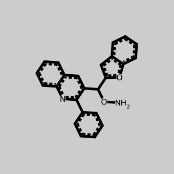 NOC(c1cc2ccccc2o1)c1cc2ccccc2nc1-c1ccccc1